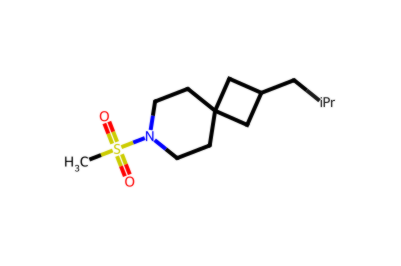 CC(C)CC1CC2(CCN(S(C)(=O)=O)CC2)C1